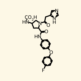 O=C(O)NC1CC(C(=O)Nc2ccc(Oc3ccc(F)cc3)cc2)N(C(=O)Cc2cnc[nH]2)C1